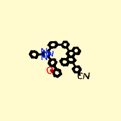 N#Cc1ccc(-c2cc3c4ccccc4c(-c4cccc(-c5cccc(-c6nc(-c7ccccc7)nc(-c7ccc8c(c7)oc7ccccc78)n6)c5)c4)cc3c3ccccc23)cc1